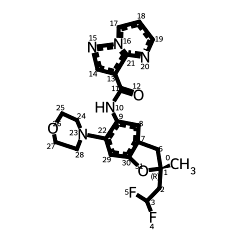 C[C@]1(CC(F)F)Cc2cc(NC(=O)c3cnn4cccnc34)c(N3CCOCC3)cc2O1